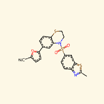 Cc1nc2ccc(S(=O)(=O)N3CCSc4ccc(-c5ccc(C#N)o5)cc43)cc2s1